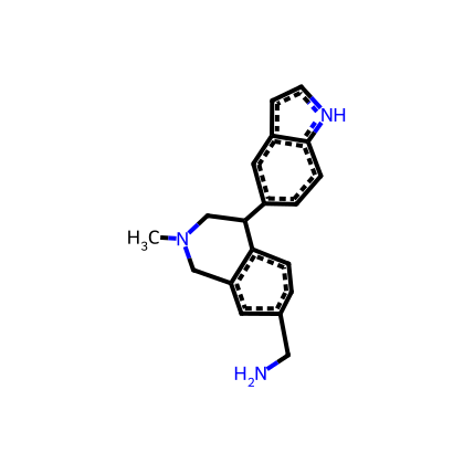 CN1Cc2cc(CN)ccc2C(c2ccc3[nH]ccc3c2)C1